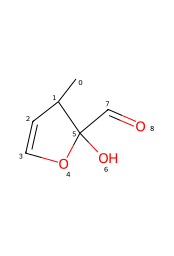 CC1C=COC1(O)C=O